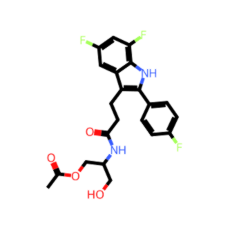 CC(=O)OCC(CO)NC(=O)CCc1c(-c2ccc(F)cc2)[nH]c2c(F)cc(F)cc12